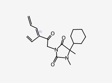 C=C/C=C(\C=C)C(=O)CN1C(=O)N(C)C(C)(C2CCCCC2)C1=O